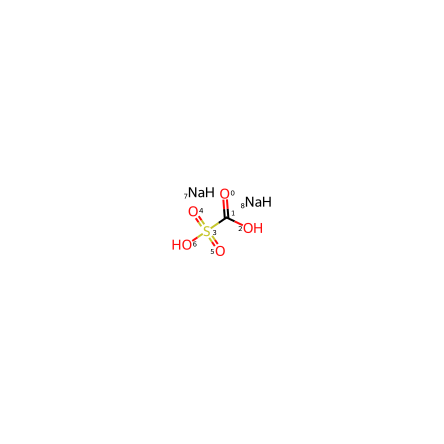 O=C(O)S(=O)(=O)O.[NaH].[NaH]